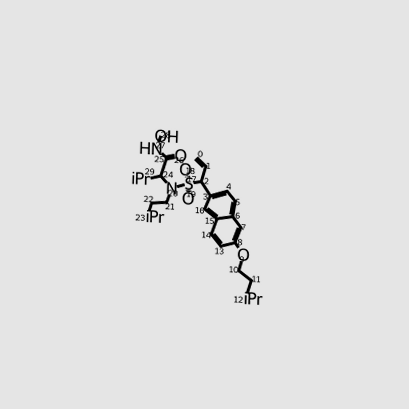 C=CC(c1ccc2cc(OCCC(C)C)ccc2c1)S(=O)(=O)N(CCC(C)C)C(C(=O)NO)C(C)C